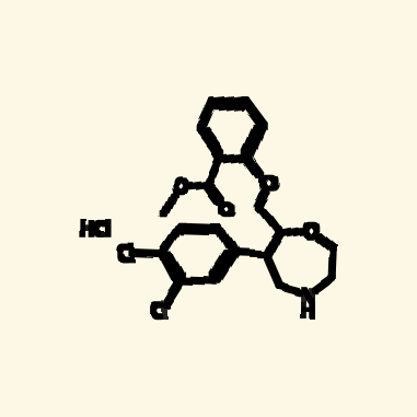 COC(=O)c1ccccc1OCC1OCCNCC1c1ccc(Cl)c(Cl)c1.Cl